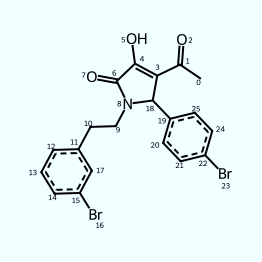 CC(=O)C1=C(O)C(=O)N(CCc2cccc(Br)c2)C1c1ccc(Br)cc1